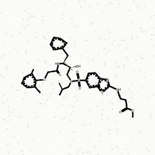 COC(=O)CCNc1nc2ccc(S(=O)(=O)N(CC(C)C)C[C@@H](O)[C@H](Cc3ccccc3)NC(=O)COc3c(C)cccc3C)cc2s1